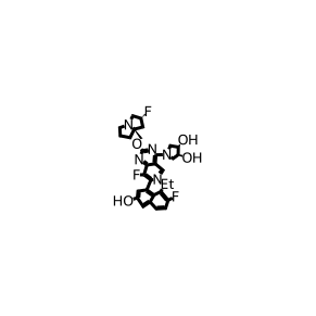 CCc1c(F)ccc2cc(O)cc(-c3ncc4c(N5C[C@H](O)[C@@H](O)C5)nc(OC[C@@]56CCCN5C[C@H](F)C6)nc4c3F)c12